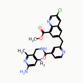 COC(=O)c1cc(Cc2cc(C(=O)NCc3c(C)cc(N)nc3C)ccn2)cc2cc(Cl)cnc12